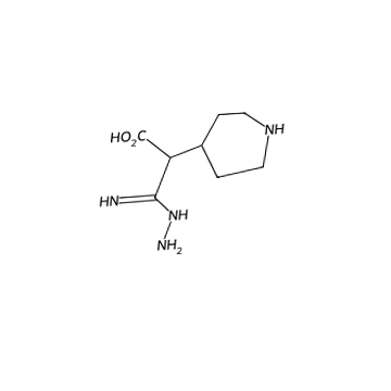 N=C(NN)C(C(=O)O)C1CCNCC1